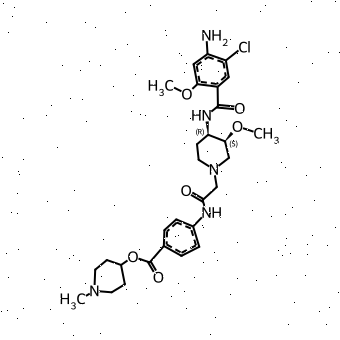 COc1cc(N)c(Cl)cc1C(=O)N[C@@H]1CCN(CC(=O)Nc2ccc(C(=O)OC3CCN(C)CC3)cc2)C[C@@H]1OC